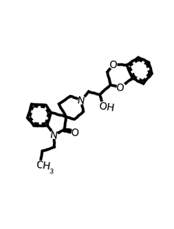 CCCN1C(=O)C2(CCN(CC(O)C3COc4ccccc4O3)CC2)c2ccccc21